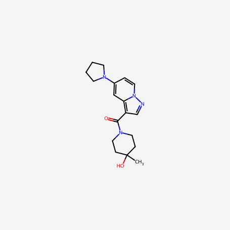 CC1(O)CCN(C(=O)c2cnn3ccc(N4CCCC4)cc23)CC1